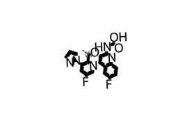 C[C@H](Oc1cc2cc(F)ccc2nc1NC(=O)O)c1ncc(F)cc1-n1cccn1